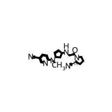 CN(c1ccc(C#N)cn1)C1C=CC(NCC(=O)N2CCC[C@H]2C#N)C1